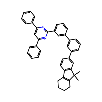 CC1(C)C2=C(CCCC2)c2ccc(-c3cccc(-c4cccc(-c5nc(-c6ccccc6)cc(-c6ccccc6)n5)c4)c3)cc21